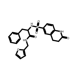 O=C1CCc2cc(S(=O)(=O)NC(Cc3ccccc3)C(=O)NCc3ccco3)ccc2N1